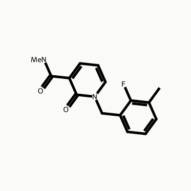 CNC(=O)c1cccn(Cc2cccc(C)c2F)c1=O